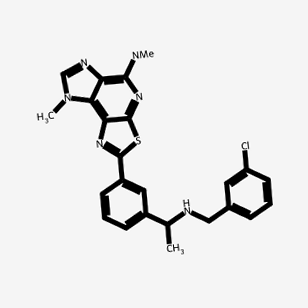 CNc1nc2sc(-c3cccc(C(C)NCc4cccc(Cl)c4)c3)nc2c2c1ncn2C